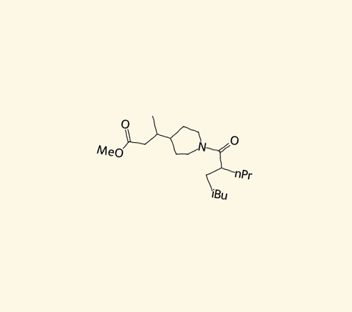 CCCC(CC(C)CC)C(=O)N1CCC(C(C)CC(=O)OC)CC1